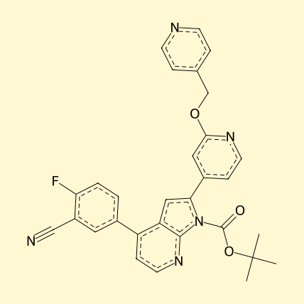 CC(C)(C)OC(=O)n1c(-c2ccnc(OCc3ccncc3)c2)cc2c(-c3ccc(F)c(C#N)c3)ccnc21